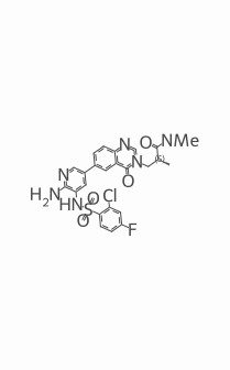 CNC(=O)[C@@H](C)Cn1cnc2ccc(-c3cnc(N)c(NS(=O)(=O)c4ccc(F)cc4Cl)c3)cc2c1=O